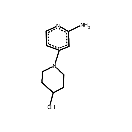 Nc1cc(N2CCC(O)CC2)ccn1